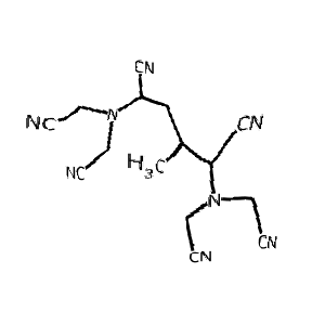 CC(CC(C#N)N(CC#N)CC#N)C(C#N)N(CC#N)CC#N